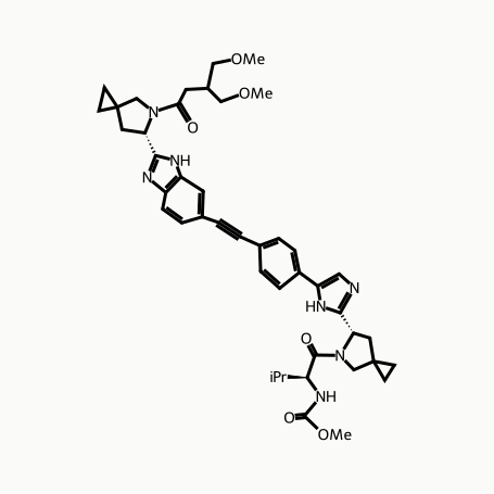 COCC(COC)CC(=O)N1CC2(CC2)C[C@H]1c1nc2ccc(C#Cc3ccc(-c4cnc([C@@H]5CC6(CC6)CN5C(=O)[C@@H](NC(=O)OC)C(C)C)[nH]4)cc3)cc2[nH]1